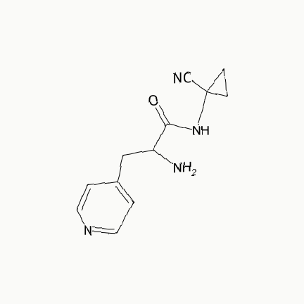 N#CC1(NC(=O)C(N)Cc2ccncc2)CC1